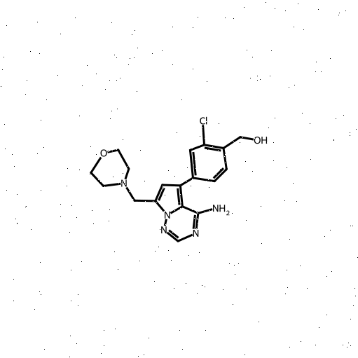 Nc1ncnn2c(CN3CCOCC3)cc(-c3ccc(CO)c(Cl)c3)c12